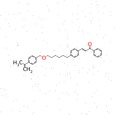 C=C(C)c1ccc(COCCCCCCc2ccc(C=CC(=O)c3ccccc3)cc2)cc1